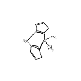 [CH3][Zr]1([CH3])[C]2=C(C=CC2)[SiH2]C2=[C]1CC=C2